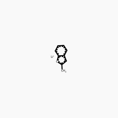 Cc1cc2ccccc2[cH-]1.[Li+]